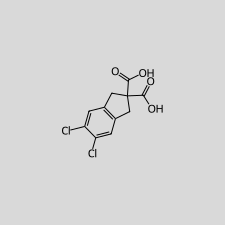 O=C(O)C1(C(=O)O)Cc2cc(Cl)c(Cl)cc2C1